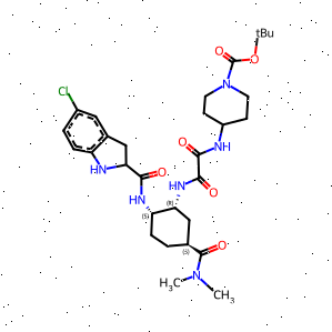 CN(C)C(=O)[C@H]1CC[C@H](NC(=O)C2Cc3cc(Cl)ccc3N2)[C@H](NC(=O)C(=O)NC2CCN(C(=O)OC(C)(C)C)CC2)C1